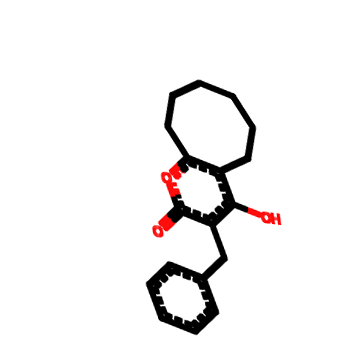 O=c1oc2c(c(O)c1Cc1ccccc1)CCCCCC2